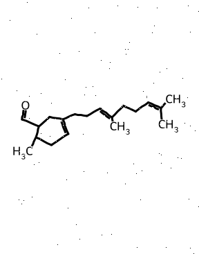 CC(C)=CCC/C(C)=C/CCC1=CCC(C)C(C=O)C1